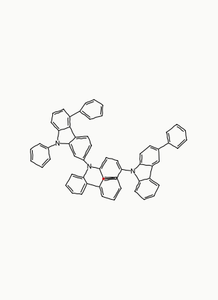 c1ccc(-c2ccc3c(c2)c2ccccc2n3-c2ccc(N(c3ccc4c5c(-c6ccccc6)cccc5n(-c5ccccc5)c4c3)c3ccccc3-c3ccccc3)cc2)cc1